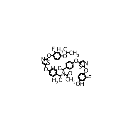 CC(=O)N(C(C)c1ccc(Oc2cnc(Oc3ccc(O)cc3F)s2)cc1)C(C)c1ccc(Oc2cnc(Oc3ccc(OC(C)C)cc3F)s2)cc1